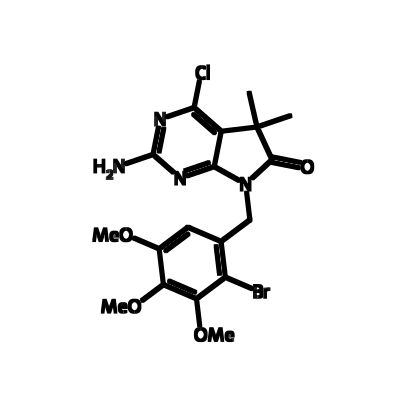 COc1cc(CN2C(=O)C(C)(C)c3c(Cl)nc(N)nc32)c(Br)c(OC)c1OC